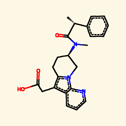 C[C@@H](C(=O)N(C)[C@@H]1CCc2c(CC(=O)O)c3cccnc3n2C1)c1ccccc1